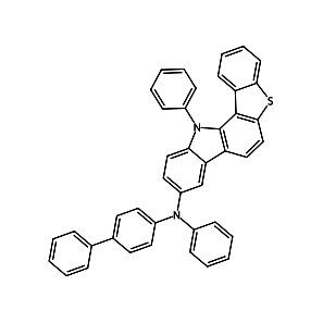 c1ccc(-c2ccc(N(c3ccccc3)c3ccc4c(c3)c3ccc5sc6ccccc6c5c3n4-c3ccccc3)cc2)cc1